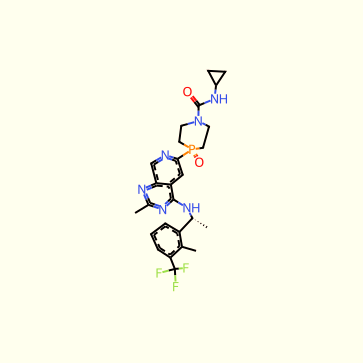 Cc1nc(N[C@H](C)c2cccc(C(F)(F)F)c2C)c2cc(P3(=O)CCN(C(=O)NC4CC4)CC3)ncc2n1